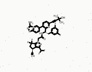 C#C[C@H]1CC(F)(F)c2c1c(C(F)F)nn2CC(=O)N[C@@H](Cc1cc(F)cc(F)c1)c1nc(C#CC(C)(C)O)ccc1-c1ccc2nnc(N)n2c1